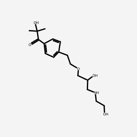 CC(C)(O)C(=O)c1ccc(CCOCC(O)CNCCO)cc1